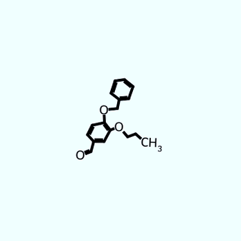 CCCOc1cc(C=O)ccc1OCc1ccccc1